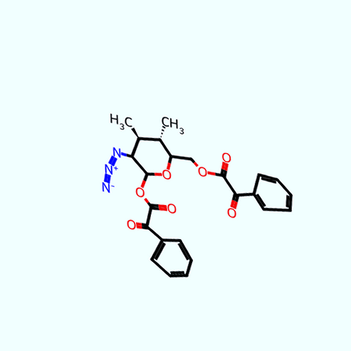 C[C@@H]1C(COC(=O)C(=O)c2ccccc2)OC(OC(=O)C(=O)c2ccccc2)C(N=[N+]=[N-])[C@H]1C